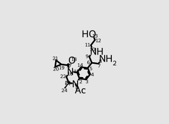 CC(=O)N1c2ccc(C(CN)CNCCO)cc2N(C(=O)C2CC2)C[C@@H]1C